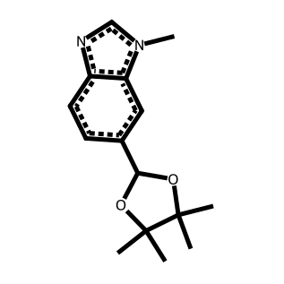 Cn1cnc2ccc(C3OC(C)(C)C(C)(C)O3)cc21